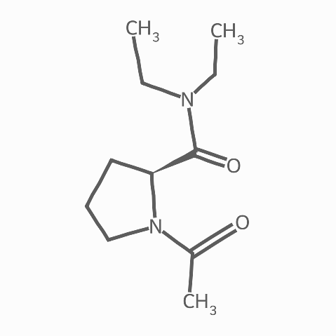 CCN(CC)C(=O)[C@@H]1CCCN1C(C)=O